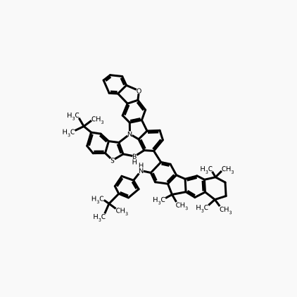 CC(C)(C)c1ccc(Nc2cc3c(cc2-c2ccc4c5cc6oc7ccccc7c6cc5n5c4c2Bc2sc4ccc(C(C)(C)C)cc4c2-5)-c2cc4c(cc2C3(C)C)C(C)(C)CCC4(C)C)cc1